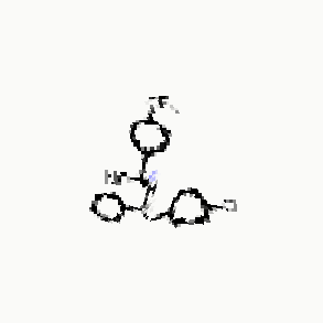 N#C/C(=N\[C@H](Cc1ccc(Cl)cc1)c1ccccc1)c1ccc(C(F)(F)F)cc1